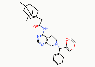 CC12CC3CC(C)(C1)CC(CC(=O)Nc1ncnc4c1CCN(C(C1=CC=CCC1)C1=COC=CO1)C4)(C3)C2